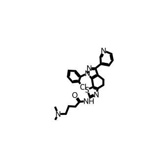 CN(C)CCCC(=O)Nc1nc2c(s1)-c1c(c(-c3cccnc3)nn1-c1ccccc1Cl)CC2